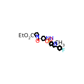 CCOC(=O)C1CCCN(C(=O)[C@H]2CC[C@H](NS(=O)(=O)c3ccc4cc(-c5ccc(F)cc5)n(C)c4c3)CC2)C1